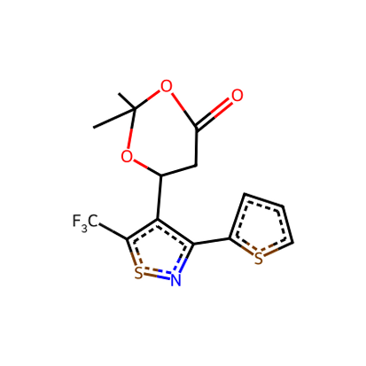 CC1(C)OC(=O)CC(c2c(-c3cccs3)nsc2C(F)(F)F)O1